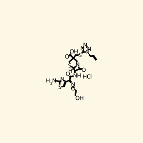 C=CCn1nnnc1SCC1(C(=O)O)CS[C@@H]2C(NC(=O)C(=NOCCO)c3csc(N)n3)C(=O)N2C1.Cl